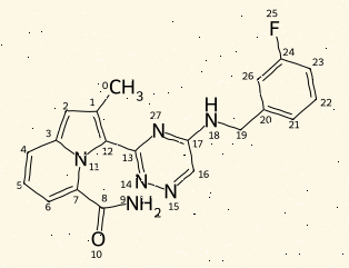 Cc1cc2cccc(C(N)=O)n2c1-c1nncc(NCc2cccc(F)c2)n1